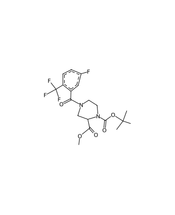 COC(=O)C1CN(C(=O)c2cc(F)ccc2C(F)(F)F)CCN1C(=O)OC(C)(C)C